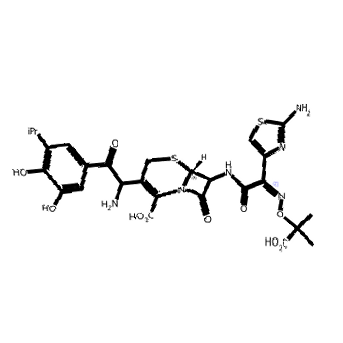 CC(C)c1cc(C(=O)C(N)C2=C(C(=O)O)N3C(=O)C(NC(=O)/C(=N\OC(C)(C)C(=O)O)c4csc(N)n4)[C@H]3SC2)cc(O)c1O